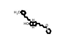 Cc1cccc(CC/C=C/[C@@H]2[C@H]3CC(CCCCC(=O)N4CCCCC4)=C[C@H]3C[C@H]2O)c1